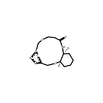 O=C1CCCCn2cc(nn2)CO[C@@H]2CCCC[C@@H]2N1